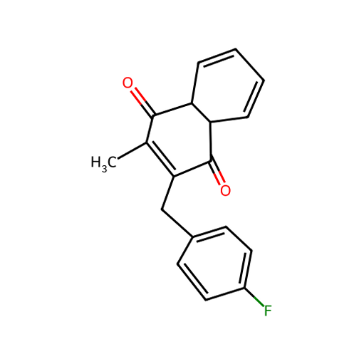 CC1=C(Cc2ccc(F)cc2)C(=O)C2C=CC=CC2C1=O